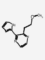 COCCc1nccnc1-c1ccc[nH]1